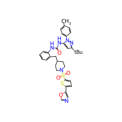 Cc1ccc(-n2nc(C(C)(C)C)cc2NC(=O)Nc2ccccc2CC2CCN(S(=O)(=O)c3ccc(-c4cnco4)s3)CC2)cc1